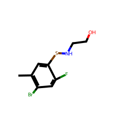 Cc1cc(SNCCO)c(F)cc1Br